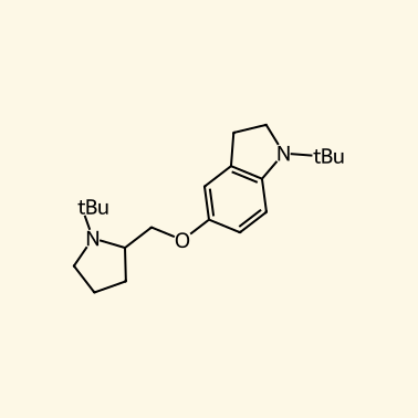 CC(C)(C)N1CCc2cc(OCC3CCCN3C(C)(C)C)ccc21